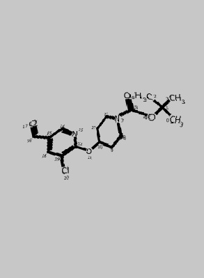 CC(C)(C)OC(=O)N1CCC(Oc2ncc(C=O)cc2Cl)CC1